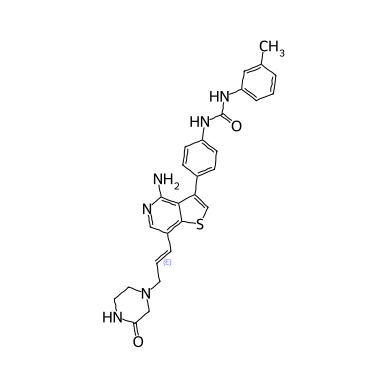 Cc1cccc(NC(=O)Nc2ccc(-c3csc4c(/C=C/CN5CCNC(=O)C5)cnc(N)c34)cc2)c1